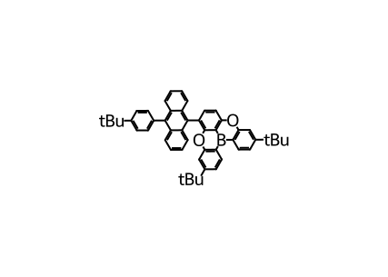 CC(C)(C)c1ccc(-c2c3ccccc3c(-c3ccc4c5c3Oc3cc(C(C)(C)C)ccc3B5c3ccc(C(C)(C)C)cc3O4)c3ccccc23)cc1